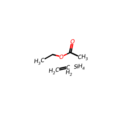 C=C.CCOC(C)=O.[SiH4]